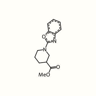 COC(=O)C1CCCN(c2nc3ccccc3o2)C1